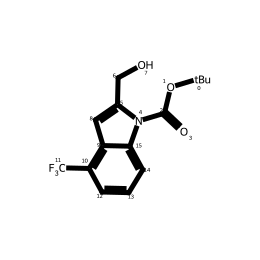 CC(C)(C)OC(=O)n1c(CO)cc2c(C(F)(F)F)cccc21